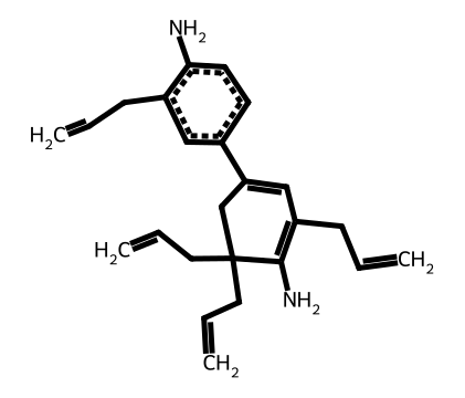 C=CCC1=C(N)C(CC=C)(CC=C)CC(c2ccc(N)c(CC=C)c2)=C1